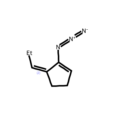 CC/C=C1/CCC=C1N=[N+]=[N-]